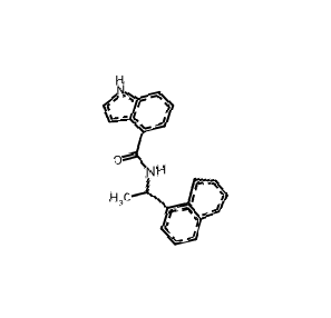 CC(NC(=O)c1cccc2[nH]ccc12)c1cccc2ccccc12